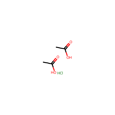 CC(=O)O.CC(=O)O.Cl